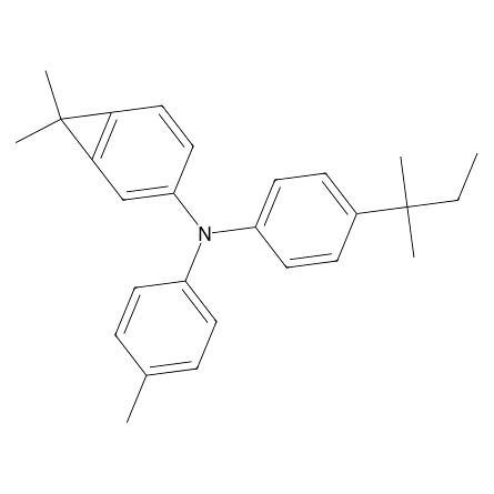 CCC(C)(C)c1ccc(N(c2ccc(C)cc2)c2ccc3c(c2)C3(C)C)cc1